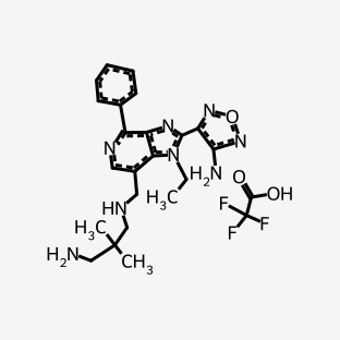 CCn1c(-c2nonc2N)nc2c(-c3ccccc3)ncc(CNCC(C)(C)CN)c21.O=C(O)C(F)(F)F